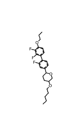 CCCCCOC1CCC(c2ccc(-c3ccc(OCCC)c(F)c3F)c(F)c2)OC1